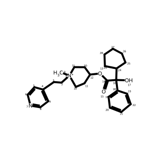 C[N+]1(CCc2ccncc2)CCC(OC(=O)C(O)(c2ccccc2)C2CCCCC2)CC1